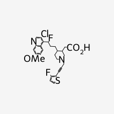 COc1ccc2ncc(Cl)c(C(F)CCC3CCN(CC#Cc4sccc4F)CC3CC(=O)O)c2c1